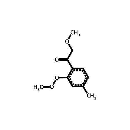 COCC(=O)c1ccc(C)cc1OOC